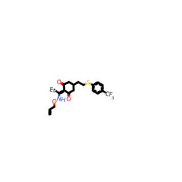 C=CCONC(CC)=C1C(=O)CC(CCSc2ccc(C(F)(F)F)cc2)CC1=O